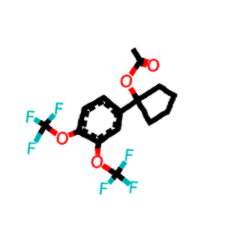 CC(=O)OC1(c2ccc(OC(F)(F)F)c(OC(F)(F)F)c2)CCCC1